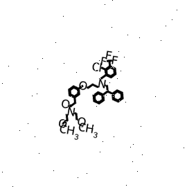 COCCN(CCOC)C(=O)Cc1cccc(OCCCN(Cc2cccc(C(F)(F)F)c2Cl)CC(c2ccccc2)c2ccccc2)c1